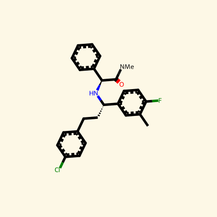 CNC(=O)[C@@H](N[C@@H](CCc1ccc(Cl)cc1)c1ccc(F)c(C)c1)c1ccccc1